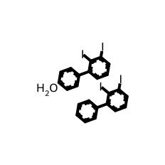 Ic1cccc(-c2ccccc2)c1I.Ic1cccc(-c2ccccc2)c1I.O